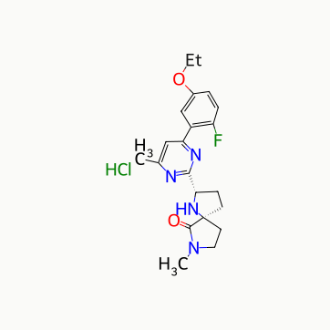 CCOc1ccc(F)c(-c2cc(C)nc([C@@H]3CC[C@@]4(CCN(C)C4=O)N3)n2)c1.Cl